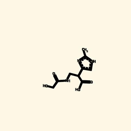 Cc1nc(C(CNC(=O)CO)C(=O)O)c[nH]1